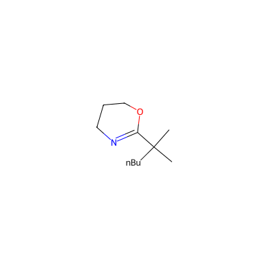 CCCCC(C)(C)C1=NCCCO1